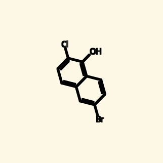 Oc1c(Cl)ccc2cc(Br)ccc12